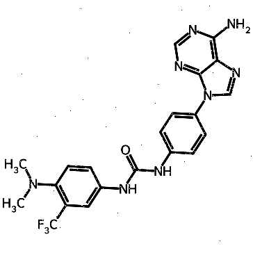 CN(C)c1ccc(NC(=O)Nc2ccc(-n3cnc4c(N)ncnc43)cc2)cc1C(F)(F)F